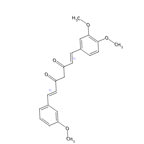 COc1[c]ccc(/C=C/C(=O)CC(=O)/C=C/c2ccc(OC)c(OC)c2)c1